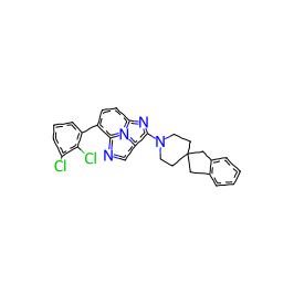 Clc1cccc(-c2ccc3nc(N4CCC5(CC4)Cc4ccccc4C5)c4cnc2n34)c1Cl